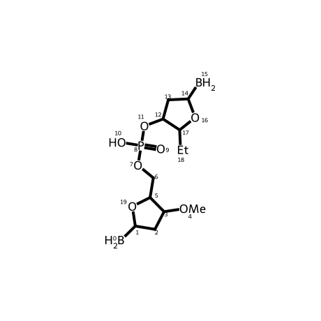 BC1CC(OC)C(COP(=O)(O)OC2CC(B)OC2CC)O1